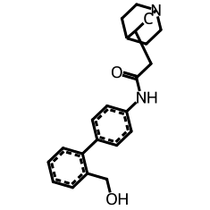 O=C(CC1CN2CCC1CC2)Nc1ccc(-c2ccccc2CO)cc1